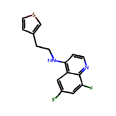 Fc1cc(F)c2nccc(NCCc3ccsc3)c2c1